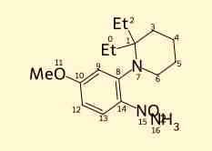 CCC1(CC)CCCCN1c1cc(OC)ccc1[N+](=O)[O-].N